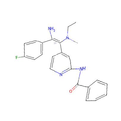 CCN(C)/C(=C(\N)c1ccc(F)cc1)c1ccnc(NC(=O)c2ccccc2)c1